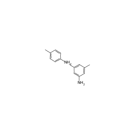 Cc1cc(C)cc(N)c1.Cc1ccc(N)cc1